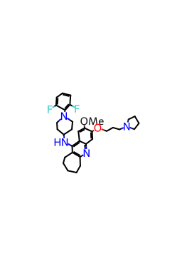 COc1cc2c(NC3CCN(c4c(F)cccc4F)CC3)c3c(nc2cc1OCCCN1CCCC1)CCCCC3